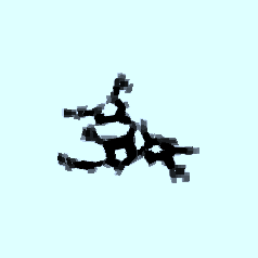 CC[C@H]1O[C@@H](n2cc(C)c(=O)[nH]c2=O)C(OC(COC)COC)[C@H]1O